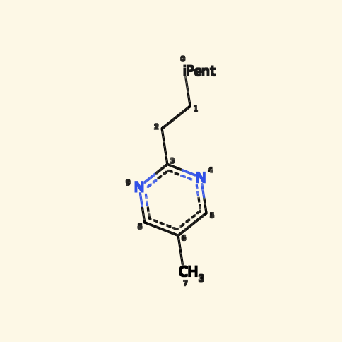 CCCC(C)CCc1ncc(C)cn1